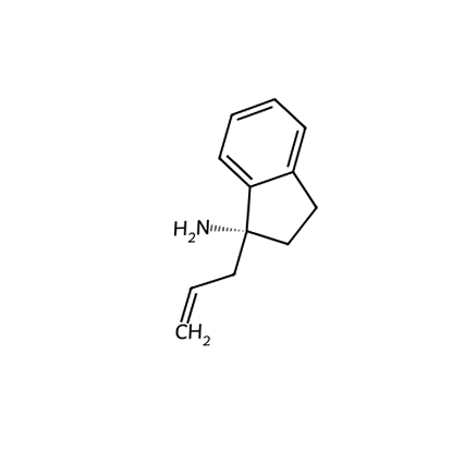 C=CC[C@]1(N)CCc2ccccc21